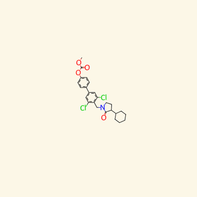 COC(=O)Oc1ccc(-c2cc(Cl)c(CN3CCC(C4CCCCC4)C3=O)c(Cl)c2)cc1